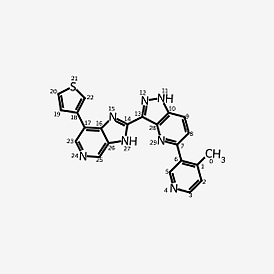 Cc1ccncc1-c1ccc2[nH]nc(-c3nc4c(-c5ccsc5)cncc4[nH]3)c2n1